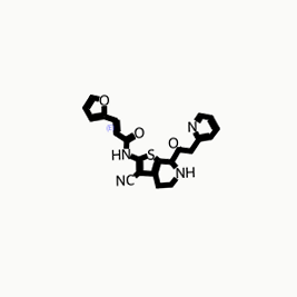 N#Cc1c(NC(=O)/C=C/c2ccco2)sc2c1CCNC2C(=O)Cc1ccccn1